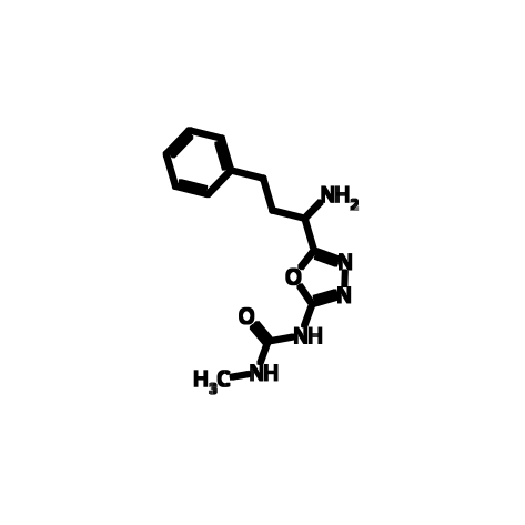 CNC(=O)Nc1nnc(C(N)CCc2ccccc2)o1